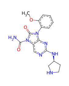 COc1ccccc1-n1c(=O)n(C(N)=O)c2cnc(N[C@H]3CCNC3)nc21